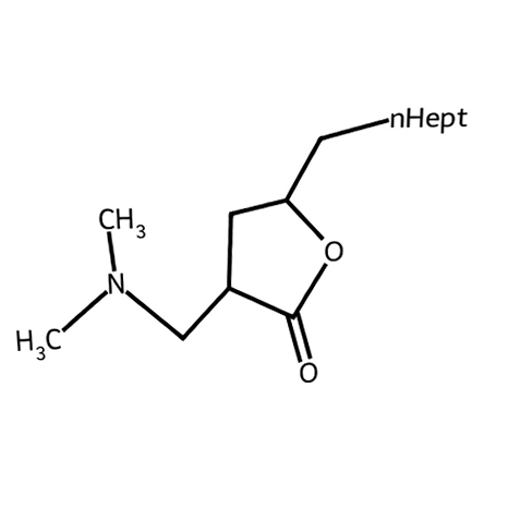 CCCCCCCCC1CC(CN(C)C)C(=O)O1